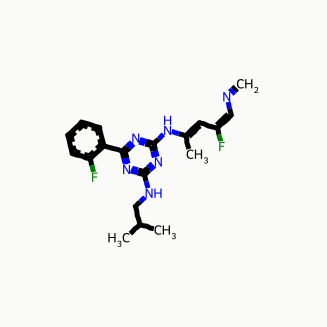 C=N/C=C(F)\C=C(/C)Nc1nc(NCC(C)C)nc(-c2ccccc2F)n1